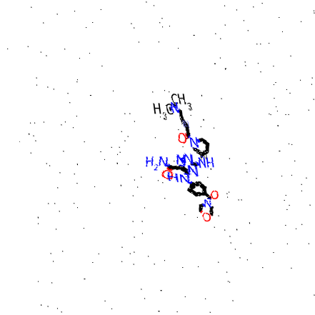 CN(C)C/C=C/C(=O)N1CCC[C@@H](Nc2nnc(C(N)=O)c(Nc3ccc(C(=O)N4CCOCC4)cc3)n2)C1